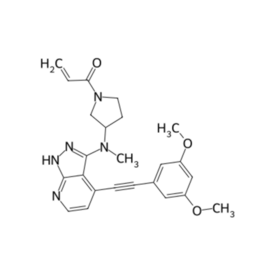 C=CC(=O)N1CCC(N(C)c2n[nH]c3nccc(C#Cc4cc(OC)cc(OC)c4)c23)C1